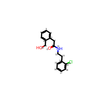 O=C(Cc1ccccc1CO)NCCc1ccccc1Cl